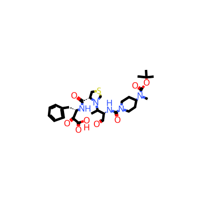 CC([C@@H](C=O)NC(=O)N1CCC(N(C)C(=O)OC(C)(C)C)CC1)N1CSC[C@H]1C(=O)N[C@@H](Cc1ccccc1)C(=O)C(=O)O